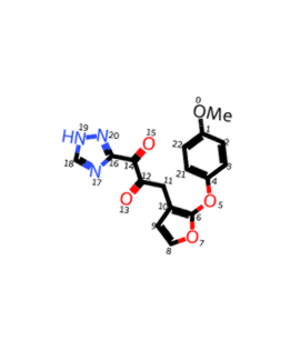 COc1ccc(Oc2occc2CC(=O)C(=O)c2nc[nH]n2)cc1